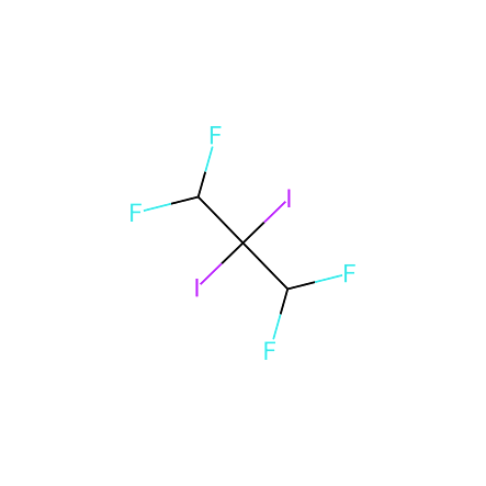 FC(F)C(I)(I)C(F)F